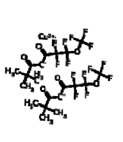 CC(C)(C)C(=O)[CH-]C(=O)C(F)(F)C(F)(F)OC(F)(F)F.CC(C)(C)C(=O)[CH-]C(=O)C(F)(F)C(F)(F)OC(F)(F)F.[Cu+2]